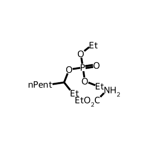 CCCCCC(CC)OP(=O)(OCC)OCC.CCOC(N)=O